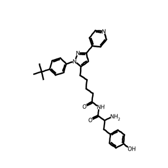 CC(C)(C)c1ccc(-n2nc(-c3ccncc3)cc2CCCCC(=O)NC(=O)C(N)Cc2ccc(O)cc2)cc1